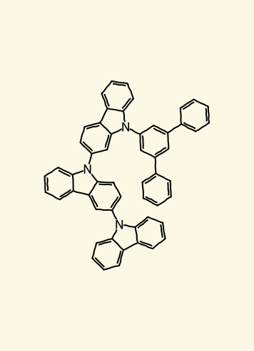 c1ccc(-c2cc(-c3ccccc3)cc(-n3c4ccccc4c4ccc(-n5c6ccccc6c6cc(-n7c8ccccc8c8ccccc87)ccc65)cc43)c2)cc1